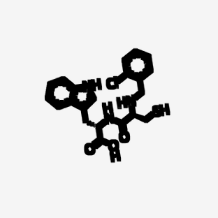 O=C(O)[C@H](Cc1c[nH]c2ccccc12)NC(=O)[C@H](CS)NCc1ccccc1Cl